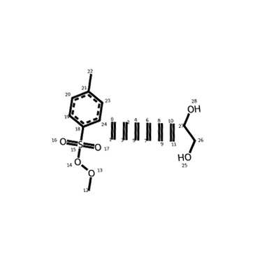 C=C.C=C.C=C.C=C.C=C.C=C.COOS(=O)(=O)c1ccc(C)cc1.OCCO